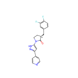 O=C1[C@H](Cc2ccc(F)c(F)c2)CCN1c1cc(-c2ccncc2)n[nH]1